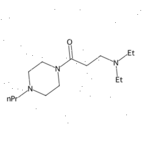 CCCN1CCN(C(=O)CCN(CC)CC)CC1